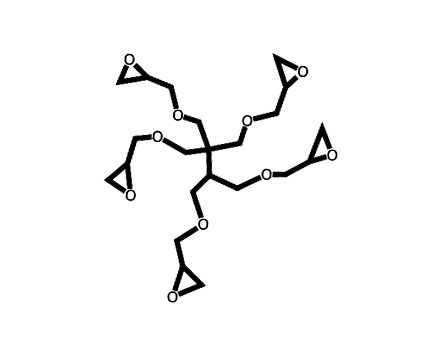 C(OCC(COCC1CO1)C(COCC1CO1)(COCC1CO1)COCC1CO1)C1CO1